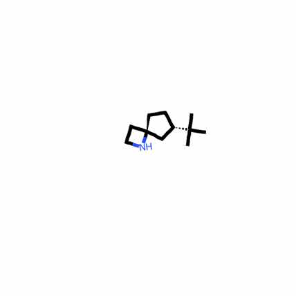 CC(C)(C)[C@H]1CC[C@@]2(CCN2)C1